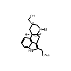 CCN1C[C@H](CO)C[C@@H]2c3cccc4[nH]c(COC)c(c34)C[C@H]21